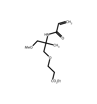 C=CC(=O)NC(C)(COC)COCCC(=O)OCC